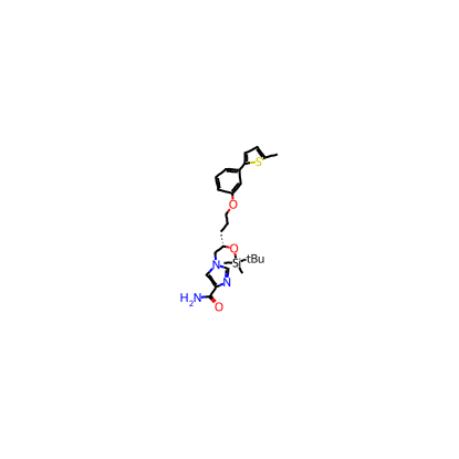 Cc1ccc(-c2cccc(OCCC[C@@H](Cn3cnc(C(N)=O)c3)O[Si](C)(C)C(C)(C)C)c2)s1